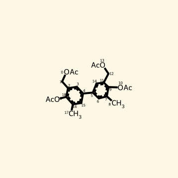 CC(=O)OCc1cc(-c2cc(C)c(OC(C)=O)c(COC(C)=O)c2)cc(C)c1OC(C)=O